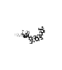 N#CC(=NNc1cc(Cl)c(Oc2ccc3c(c2)CCN(Cc2ccc(F)c(F)c2)C3=O)c(Cl)c1)C(=O)NC(=O)O